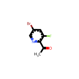 CC(=O)c1ncc(Br)cc1F